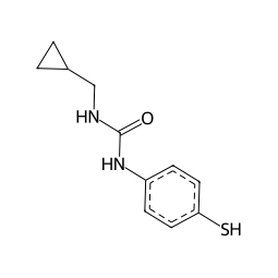 O=C(NCC1CC1)Nc1ccc(S)cc1